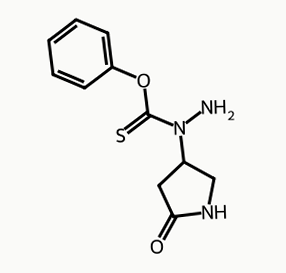 NN(C(=S)Oc1ccccc1)C1CNC(=O)C1